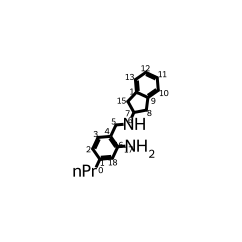 CCCc1ccc(CNC2Cc3ccccc3C2)c(N)c1